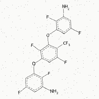 Nc1cc(F)cc(Oc2cc(F)c(C(F)(F)F)c(Oc3cc(F)cc(N)c3F)c2F)c1F